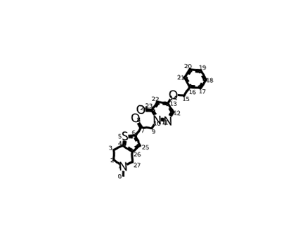 CN1CCc2sc(C(=O)Cn3ncc(OCc4ccccc4)cc3=O)cc2C1